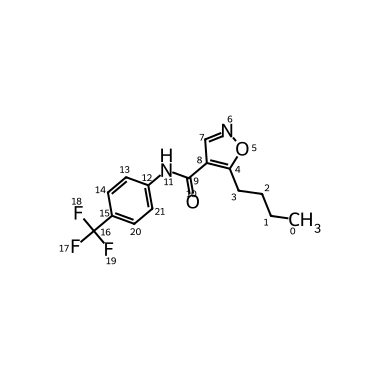 CCCCc1oncc1C(=O)Nc1ccc(C(F)(F)F)cc1